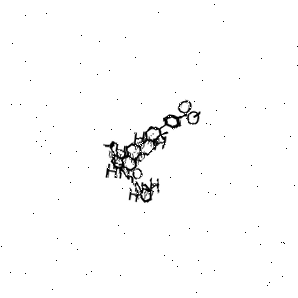 C=C(C)[C@@H]1CC[C@]2(NC(=O)CN3C[C@@H]4CC[C@H]3C4)CC[C@]3(C)[C@H](CC[C@@H]4[C@@]5(C)CC=C(c6ccc(C(=O)OC)cc6)C(C)(C)[C@@H]5CC[C@]43C)[C@@H]12